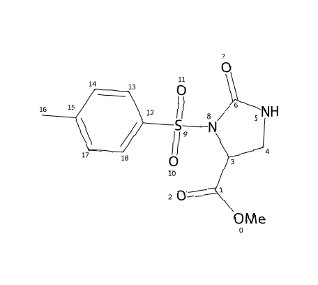 COC(=O)C1CNC(=O)N1S(=O)(=O)c1ccc(C)cc1